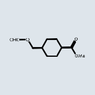 COC(=O)C1CCC(COC=O)CC1